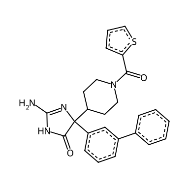 NC1=NC(c2cccc(-c3ccccc3)c2)(C2CCN(C(=O)c3cccs3)CC2)C(=O)N1